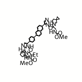 CC[C@H](NC(=O)OC)C(=O)N1[C@@H]2CC[C@@H](C2)[C@H]1c1ncc(-c2ccc(-c3ccc4cc(-c5cnc([C@@H]6CC7(CC7)CN6C(=O)CNC(=O)OC)[nH]5)ccc4c3)cc2)[nH]1